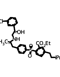 CCOC(=O)c1cc(CCC(C)C)ccc1S(=O)(=O)c1ccc(C[C@@H](C)NC[C@@H](O)c2cccc(Cl)c2)cc1